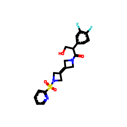 O=C(C(CO)c1ccc(F)c(F)c1)N1CC(=C2CN(S(=O)(=O)c3ccccn3)C2)C1